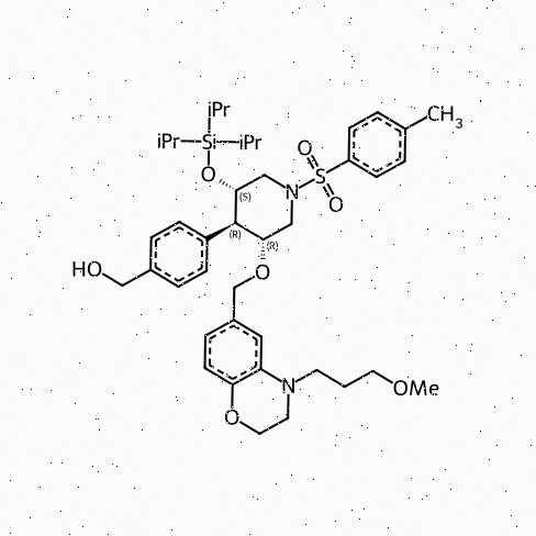 COCCCN1CCOc2ccc(CO[C@H]3CN(S(=O)(=O)c4ccc(C)cc4)C[C@@H](O[Si](C(C)C)(C(C)C)C(C)C)[C@@H]3c3ccc(CO)cc3)cc21